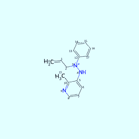 C=CC[N+](Nc1cccnc1C)c1ccccc1